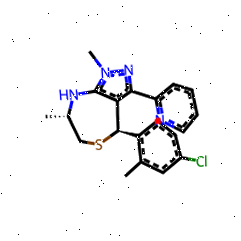 Cc1cc(Cl)ccc1[C@H]1SC[C@H](C)Nc2c1c(-c1ccccn1)nn2C